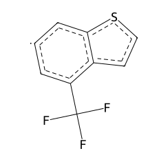 FC(F)(F)c1c[c]cc2sccc12